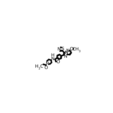 C=CC(=O)N1CCC(N[C@H]2COc3cc(-c4nc5ccc(OC)nn5c4-c4cncs4)ccc32)CC1